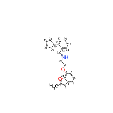 Cc1cc2cccc(OCCNCc3ccccc3C3CC=CC3)c2o1